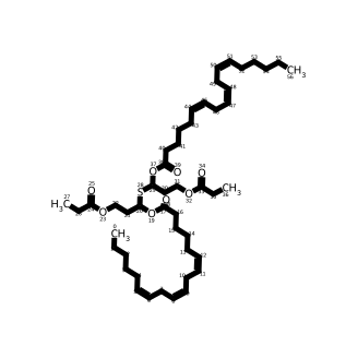 CCCCC/C=C\C/C=C\C/C=C\CCCCC(=O)OC(CCOC(=O)CC)SC(CCOC(=O)CC)OC(=O)CCCC/C=C\C/C=C\C/C=C\CCCCC